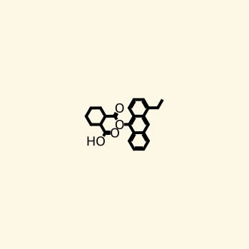 CCc1cccc2c(OC(=O)C3CCCCC3C(=O)O)c3ccccc3cc12